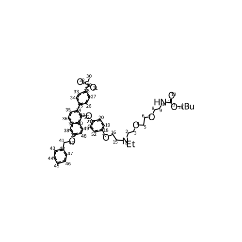 CCN(CCOCCOCCNC(=O)OC(C)(C)C)CCOc1ccc(Oc2c(-c3ccc(S(C)(=O)=O)cc3)ccc3cc(OCc4ccccc4)ccc23)cc1